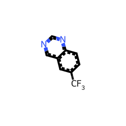 FC(F)(F)c1ccc2ncncc2c1